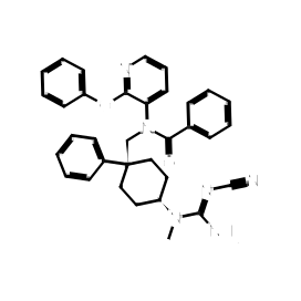 CN(C(N)=NC#N)[C@H]1CC[C@](CN(C(=O)c2ccccc2)c2cccnc2Oc2ccccc2)(c2ccccc2)CC1